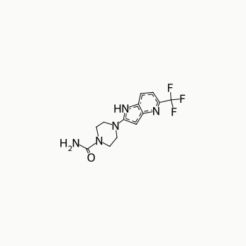 NC(=O)N1CCN(c2cc3nc(C(F)(F)F)ccc3[nH]2)CC1